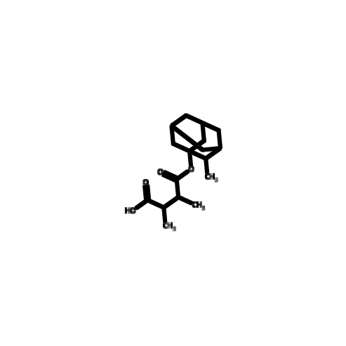 CC(C(=O)O)C(C)C(=O)OC12CC3CC(CC(C3)C1C)C2